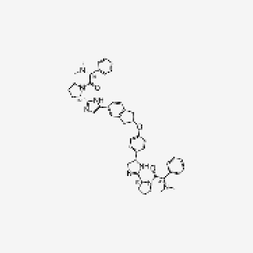 CN(C)[C@@H](C(=O)N1CCC[C@H]1C1=NCC(c2ccc(OC3Cc4ccc(-c5cnc([C@@H]6CCCN6C(=O)[C@@H](c6ccccc6)N(C)C)[nH]5)cc4C3)cc2)N1)c1ccccc1